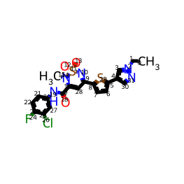 CCn1cc(-c2ccc(C3=NS(=O)(=O)N(C)C(C(=O)Nc4ccc(F)c(Cl)c4)=C3)s2)cn1